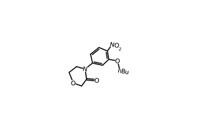 CCCCOc1cc(N2CCOCC2=O)ccc1[N+](=O)[O-]